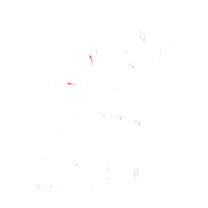 CCOC(=O)C(Cc1ccccc1)/N=[P+](\[O-])OOC[C@@]1(N=[N+]=[N-])O[C@@H](n2ccc(=O)[nH]c2=O)[C@H](O)[C@@H]1O